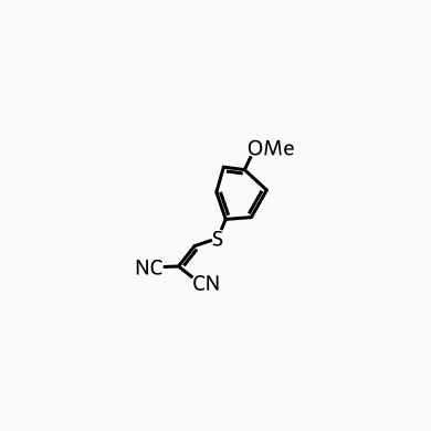 COc1ccc(SC=C(C#N)C#N)cc1